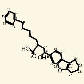 O=C(O)C(CCCCCc1ccccc1)CC(O)c1ccc2c3c(oc2c1)CCCC3